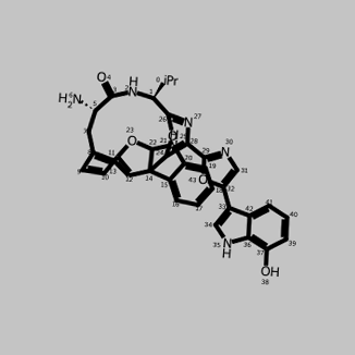 CC(C)[C@@H]1NC(=O)[C@@H](N)Cc2ccc3c(c2)C2(c4ccccc4NC2O3)c2oc1nc2-c1ncc(-c2c[nH]c3c(O)cccc23)o1